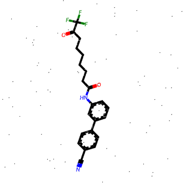 N#Cc1ccc(-c2cccc(NC(=O)CCCCCCC(=O)C(F)(F)F)c2)cc1